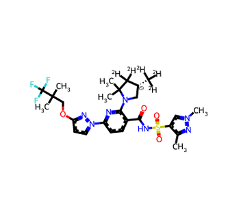 [2H]C([2H])([2H])[C@@H]1CN(c2nc(-n3ccc(OCC(C)(C)C(F)(F)F)n3)ccc2C(=O)NS(=O)(=O)c2cn(C)nc2C)C(C)(C)C1([2H])[2H]